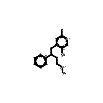 CCCNCCC(Cc1cc(C)ncc1C#N)c1ccccc1